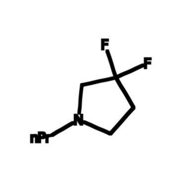 CCCN1CCC(F)(F)C1